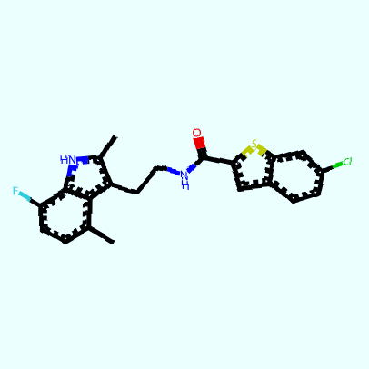 Cc1[nH]c2c(F)ccc(C)c2c1CCNC(=O)c1cc2ccc(Cl)cc2s1